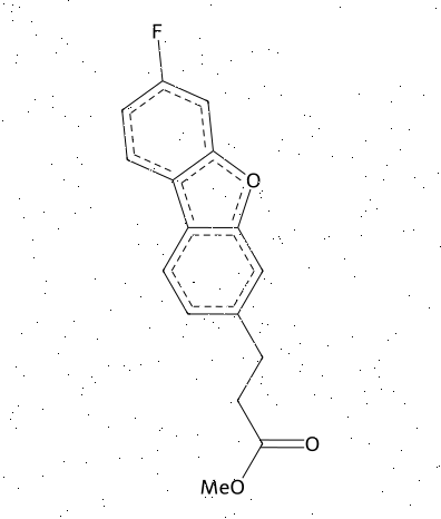 COC(=O)CCc1ccc2c(c1)oc1cc(F)ccc12